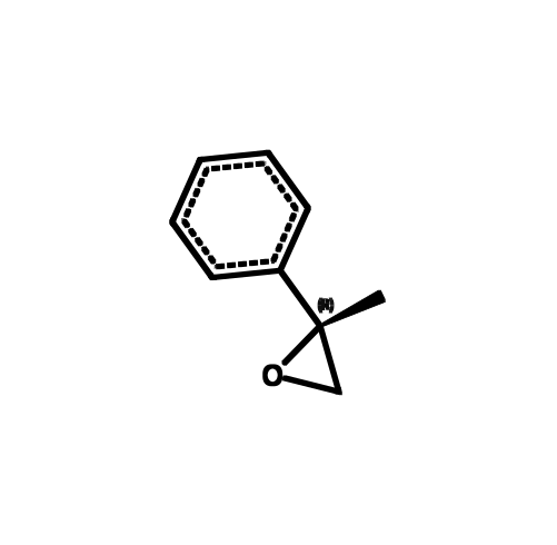 C[C@@]1(c2ccccc2)CO1